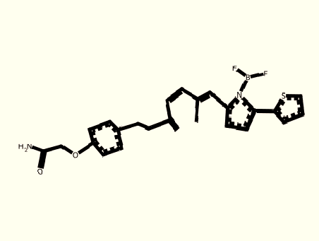 C=C(/C=C\C(C)=C\c1ccc(-c2cccs2)n1B(F)F)CCc1ccc(OCC(N)=O)cc1